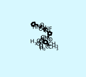 COc1c(NC(=O)c2ccc(F)c(-n3cc(OC(=O)NCc4ccccc4)nn3)c2)cc(C(C)(C)C)cc1NS(C)(=O)=O